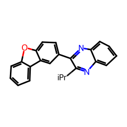 CC(C)c1nc2ccccc2nc1-c1ccc2oc3ccccc3c2c1